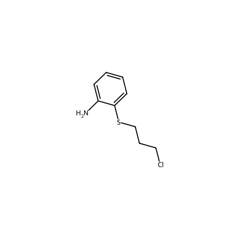 Nc1ccccc1SCCCCl